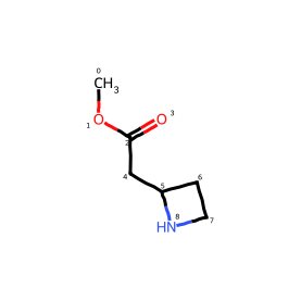 COC(=O)CC1CCN1